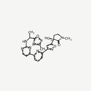 Cc1noc(C(C)Nc2nccc(-c3cccc(-c4cc([C@]5(O)CCN(C)C5=O)on4)n3)n2)n1